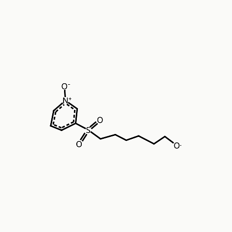 [O]CCCCCCS(=O)(=O)c1ccc[n+]([O-])c1